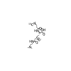 CN(C)CCNC(=O)C[S+]([O-])CC[C@H](NC(=O)CCN(C)[13CH3])C(=O)O